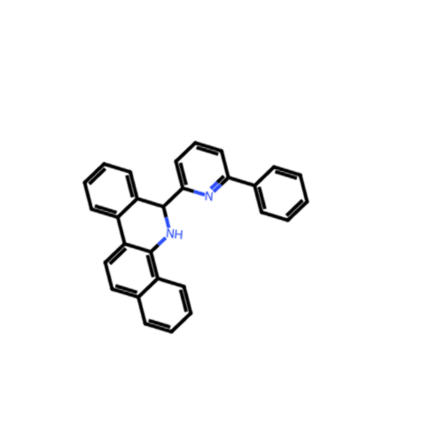 c1ccc(-c2cccc(C3Nc4c(ccc5ccccc45)-c4ccccc43)n2)cc1